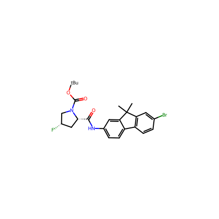 CC(C)(C)OC(=O)N1C[C@@H](F)C[C@H]1C(=O)Nc1ccc2c(c1)C(C)(C)c1cc(Br)ccc1-2